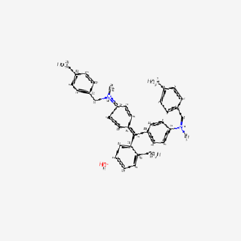 CCN(Cc1ccc(S(=O)(=O)O)cc1)c1ccc(C(=C2C=CC(=[N+](CC)Cc3ccc(S(=O)(=O)O)cc3)C=C2)c2ccccc2S(=O)(=O)O)cc1.[OH-]